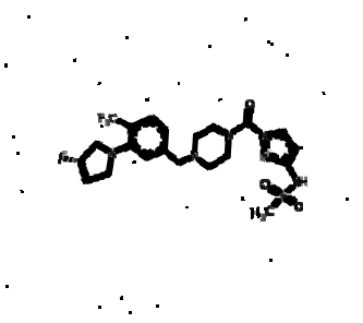 CS(=O)(=O)Nc1ccn(C(=O)N2CCN(Cc3ccc(C(F)(F)F)c(N4CC[C@H](F)C4)c3)CC2)n1